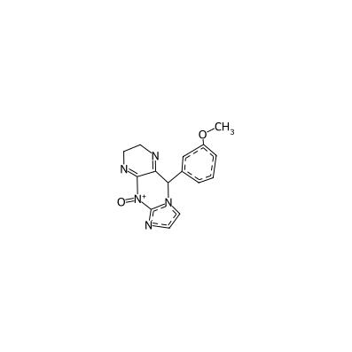 COc1cccc(C2C3=NCCN=C3[N+](=O)c3nccn32)c1